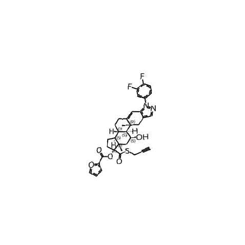 C#CCSC(=O)[C@@]1(OC(=O)c2ccco2)CC[C@H]2[C@@H]3CCC4=Cc5c(cnn5-c5ccc(F)c(F)c5)C[C@]4(C)[C@H]3[C@@H](O)C[C@@]21C